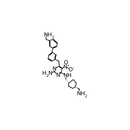 NCc1cccc(-c2cccc(Cc3nc(N)nc(NC[C@H]4CC[C@H](CN)CC4)c3[N+](=O)[O-])c2)c1